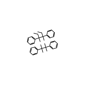 CC(C)(c1ccccc1)C(C)(C)c1ccccc1.CCC(C)(c1ccccc1)C(C)(CC)c1ccccc1